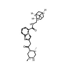 C[C@@H]1CN[C@@H](C)CN1C(=O)Cc1cn2c(C(=O)NC[C@@H]3CC[C@@H]4C[C@H]3C4(C)C)cccc2n1